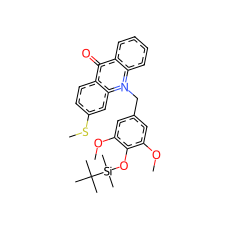 COc1cc(Cn2c3ccccc3c(=O)c3ccc(SC)cc32)cc(OC)c1O[Si](C)(C)C(C)(C)C